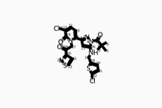 CC(C)(C)C(=O)n1nc(-c2ccc(Cl)c(=O)n2CC(=O)c2ccsn2)cc1NCc1ccc(Cl)s1